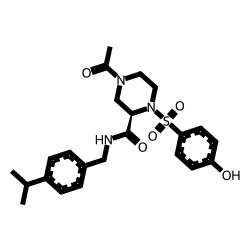 CC(=O)N1CCN(S(=O)(=O)c2ccc(O)cc2)[C@@H](C(=O)NCc2ccc(C(C)C)cc2)C1